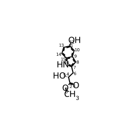 COC(=O)[C@H](O)Cc1cc2cc(O)ccc2[nH]1